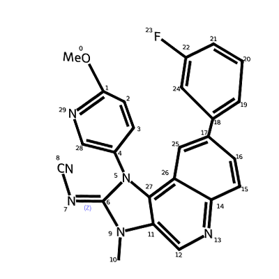 COc1ccc(-n2/c(=N\C#N)n(C)c3cnc4ccc(-c5cccc(F)c5)cc4c32)cn1